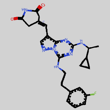 CC(Nc1nc(NCCc2cccc(F)c2)n2ncc(/C=C3\CC(=O)NC3=O)c2n1)C1CC1